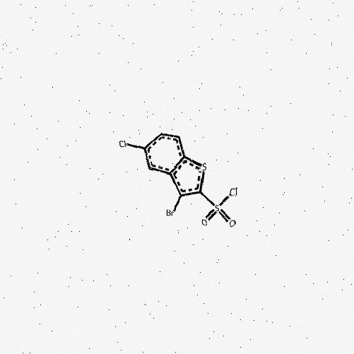 O=S(=O)(Cl)c1sc2ccc(Cl)cc2c1Br